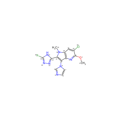 COc1nc2c(-n3ccnc3)c(-c3nnc(F)[nH]3)n(C)c2cc1Cl